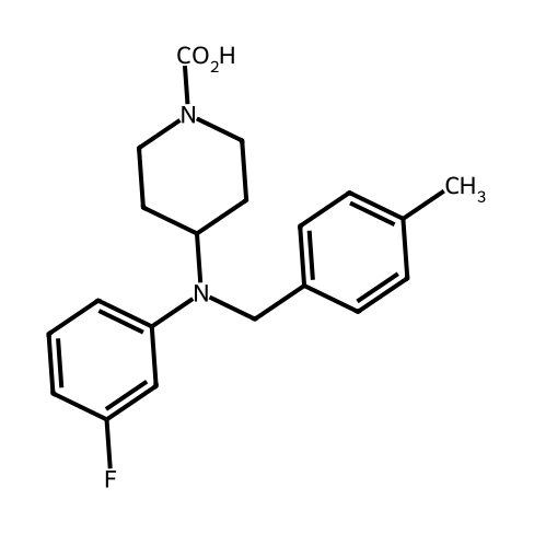 Cc1ccc(CN(c2cccc(F)c2)C2CCN(C(=O)O)CC2)cc1